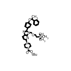 CC(Oc1ccc(-c2nc3ccc(N4CCN(C(=O)OC(C)(C)C)CC4)nc3n2COCC[Si](C)(C)C)cc1)c1ccccc1